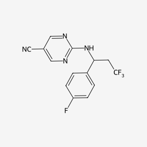 N#Cc1cnc(NC(CC(F)(F)F)c2ccc(F)cc2)nc1